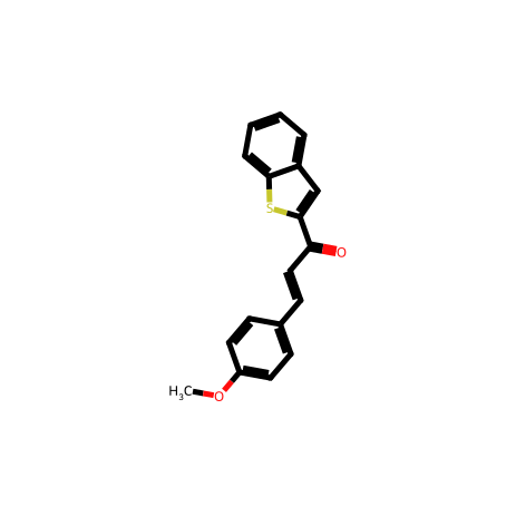 COc1ccc(/C=C/C(=O)c2cc3ccccc3s2)cc1